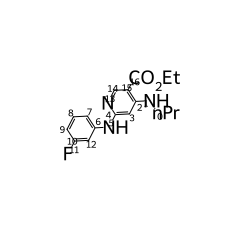 CCCNc1cc(Nc2cccc(F)c2)ncc1C(=O)OCC